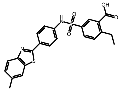 CCc1ccc(S(=O)(=O)Nc2ccc(-c3nc4ccc(C)cc4s3)cc2)cc1C(=O)O